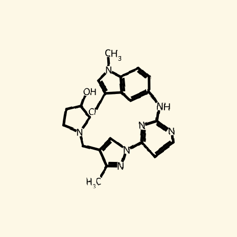 Cc1nn(-c2ccnc(Nc3ccc4c(c3)c(Cl)cn4C)n2)cc1CN1CCC(O)C1